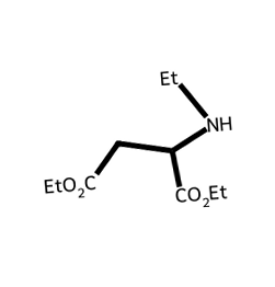 CCNC(CC(=O)OCC)C(=O)OCC